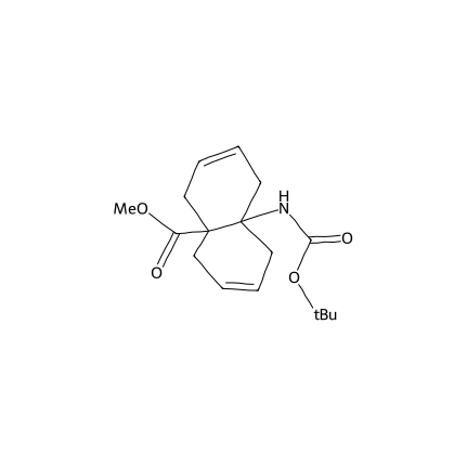 COC(=O)C12CC=CCC1(NC(=O)OC(C)(C)C)CC=CC2